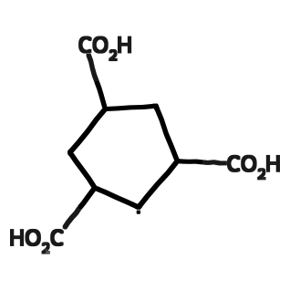 O=C(O)C1[CH]C(C(=O)O)CC(C(=O)O)C1